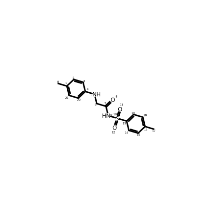 Cc1ccc(NCC(=O)NS(=O)(=O)c2ccc(C)cc2)cc1